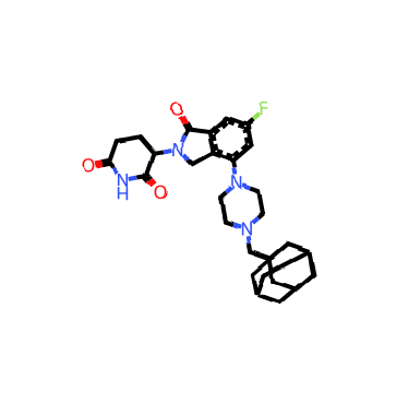 O=C1CCC(N2Cc3c(cc(F)cc3N3CCN(CC45CC6CC(CC(C6)C4)C5)CC3)C2=O)C(=O)N1